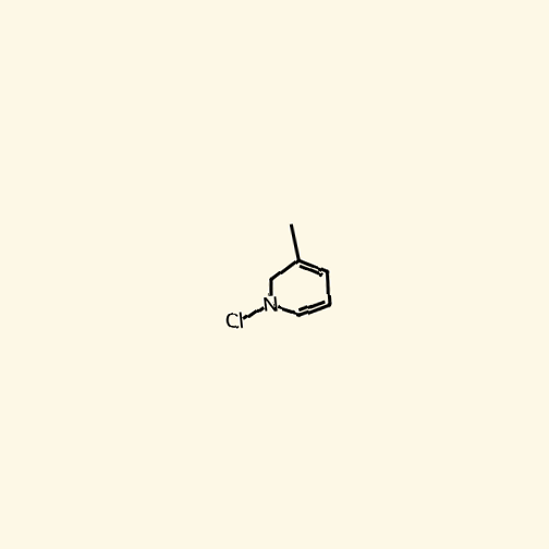 CC1=CC=CN(Cl)C1